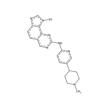 CCn1cnc2ccc3cnc(Nc4ccc(C5CCN(C)CC5)cn4)nc3c21